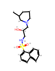 CC1CCCN(C[C@H](O)CNS(=O)(=O)c2cccc3ccccc23)C1